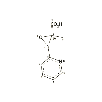 C[C@]1(C(=O)O)ON1c1ccccn1